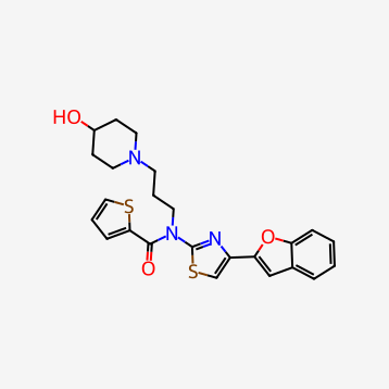 O=C(c1cccs1)N(CCCN1CCC(O)CC1)c1nc(-c2cc3ccccc3o2)cs1